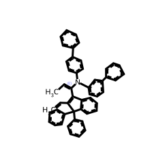 C=CC1=C(/C(=C\C)N(c2ccc(-c3ccccc3)cc2)c2cccc(-c3ccccc3)c2)c2ccccc2C1(c1ccccc1)c1ccccc1